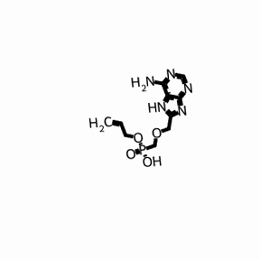 C=CCOP(=O)(O)COCc1nc2ncnc(N)c2[nH]1